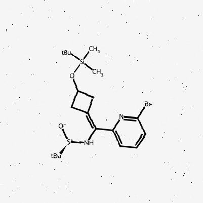 CC(C)(C)[S@@+]([O-])NC(=C1CC(O[Si](C)(C)C(C)(C)C)C1)c1cccc(Br)n1